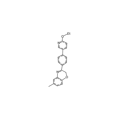 CCOc1ccc(-c2ccc(C3=Nc4cc(C)ccc4OC3)cc2)cn1